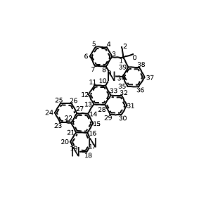 CC1(C)c2ccccc2N(c2ccc(-c3cc4ncncc4c4ccccc34)c3ccccc23)c2ccccc21